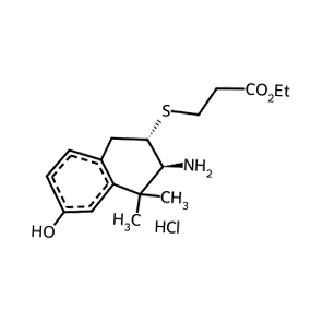 CCOC(=O)CCS[C@H]1Cc2ccc(O)cc2C(C)(C)[C@@H]1N.Cl